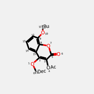 CCCCCCCCCCOc1c(OC(C)=O)c(=O)oc2c(OC(C)(C)C)cccc12